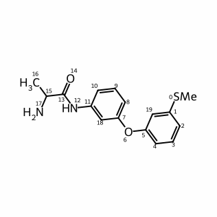 CSc1cccc(Oc2cccc(NC(=O)C(C)N)c2)c1